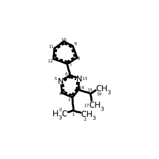 CC(C)c1cnc(-c2ccccc2)nc1C(C)C